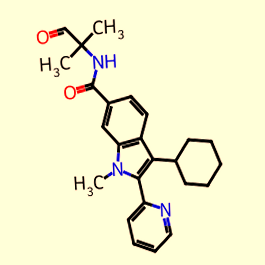 Cn1c(-c2ccccn2)c(C2CCCCC2)c2ccc(C(=O)NC(C)(C)C=O)cc21